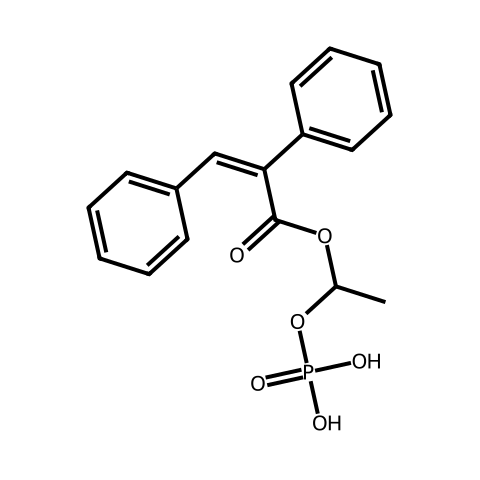 CC(OC(=O)C(=Cc1ccccc1)c1ccccc1)OP(=O)(O)O